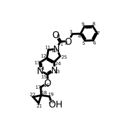 O=C(OCc1ccccc1)N1Cc2cnc(OCC3(CO)CC3)nc2C1